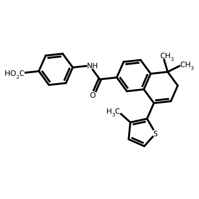 Cc1ccsc1C1=CCC(C)(C)c2ccc(C(=O)Nc3ccc(C(=O)O)cc3)cc21